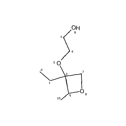 CCC1(OCCO)COC1C